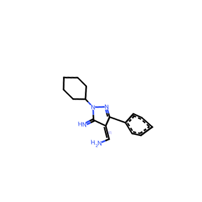 N=C1/C(=C\N)C(c2ccccc2)=NN1C1CCCCC1